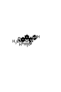 COc1cc(-c2cccc(-c3ccc(NC(C)=O)c(F)c3)c2O)cc(N2CCNCC2)n1